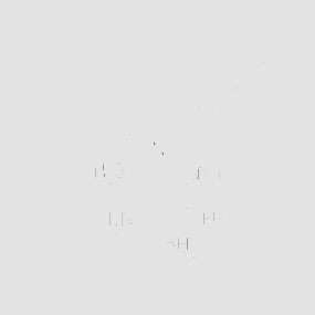 Bc1c(B)c(B)c(N(c2ccc(-c3ccccc3)cc2)c2cccc(-c3cccc(C)c3)c2)c(B)c1B